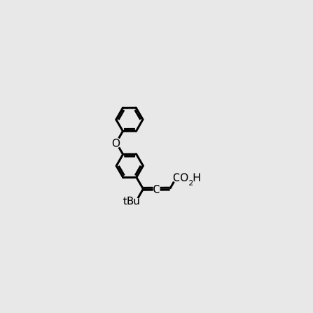 CC(C)(C)C(=C=CC(=O)O)c1ccc(Oc2ccccc2)cc1